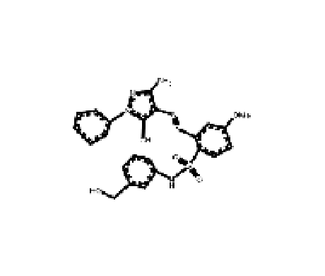 COc1ccc(S(=O)(=O)Nc2cccc(CO)c2)c(/N=N/c2c(N)nn(-c3ccccc3)c2O)c1